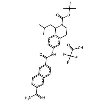 CC(C)CC1c2ccc(NC(=O)c3ccc4cc(C(=N)N)ccc4c3)cc2CCN1C(=O)OC(C)(C)C.O=C(O)C(F)(F)F